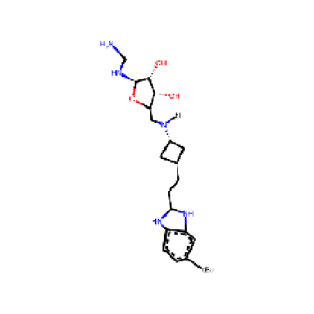 CCN(C[C@H]1O[C@@H](NCN)[C@H](O)[C@@H]1O)[C@H]1C[C@H](CCC2Nc3ccc(C(C)(C)C)cc3N2)C1